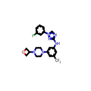 Fc1cccc(-n2cnc(Nc3cc(N4CCN(C5COC5)CC4)cc(C(F)(F)F)c3)n2)c1